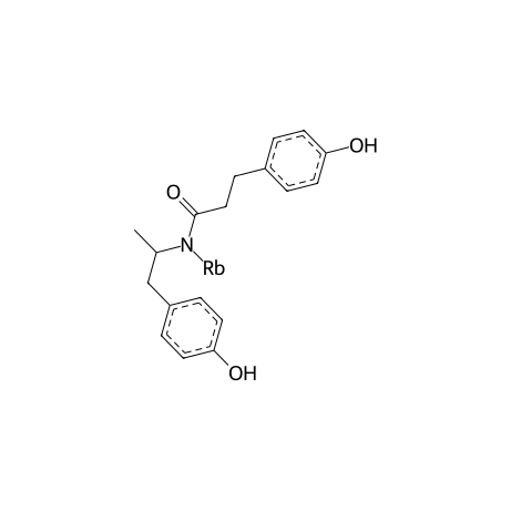 CC(Cc1ccc(O)cc1)[N]([Rb])C(=O)CCc1ccc(O)cc1